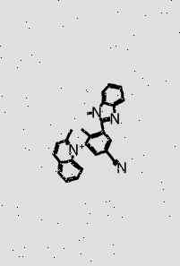 Cc1c(-c2nc3ccccc3n2C)cc(C#N)cc1-[n+]1c(C)ccc2ccccc21